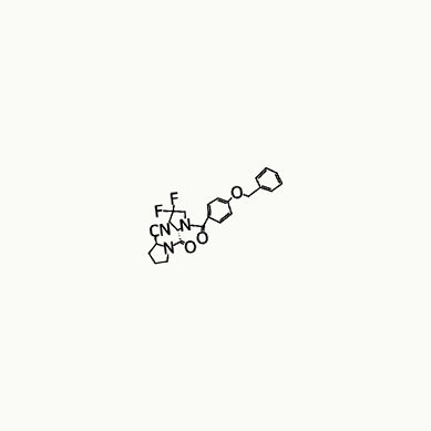 N#C[C@@H]1CCCN1C(=O)[C@@H]1CC(F)(F)CN1C(=O)c1ccc(OCc2ccccc2)cc1